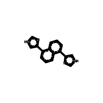 c1cc(-c2c[nH]cn2)c2cccc(-c3c[nH]cn3)c2c1